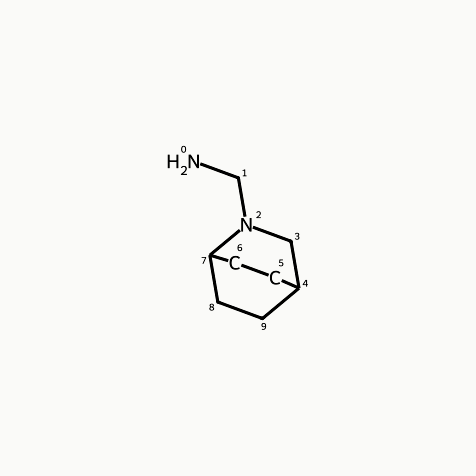 NCN1CC2CCC1CC2